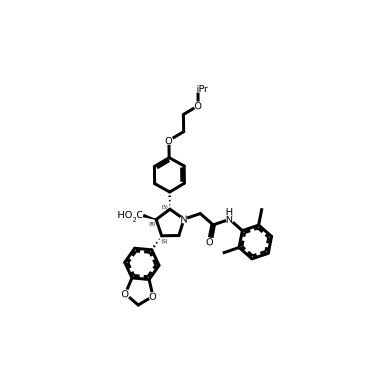 Cc1cccc(C)c1NC(=O)CN1C[C@H](c2ccc3c(c2)OCO3)[C@@H](C(=O)O)[C@@H]1C1C=CC(OCCOC(C)C)=CC1